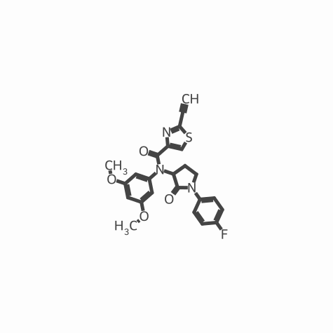 C#Cc1nc(C(=O)N(c2cc(OC)cc(OC)c2)C2CCN(c3ccc(F)cc3)C2=O)cs1